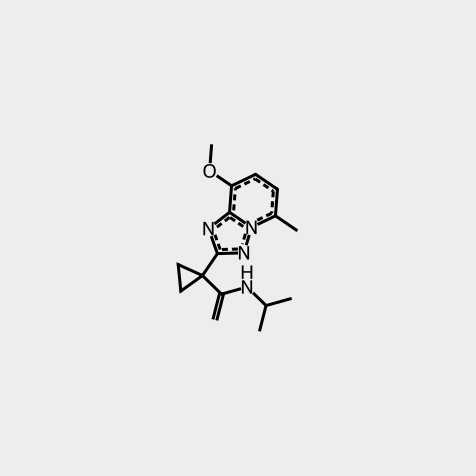 C=C(NC(C)C)C1(c2nc3c(OC)ccc(C)n3n2)CC1